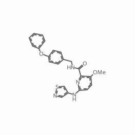 COc1ccc(Nc2cnsc2)nc1C(=O)NCc1ccc(Oc2ccccc2)cc1